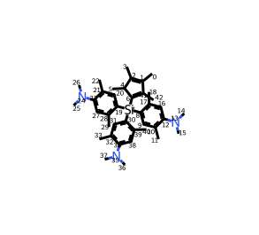 CC1=C(C)C(C)C([Si](c2cc(C)c(N(C)C)cc2C)(c2cc(C)c(N(C)C)cc2C)c2cc(C)c(N(C)C)cc2C)=C1C